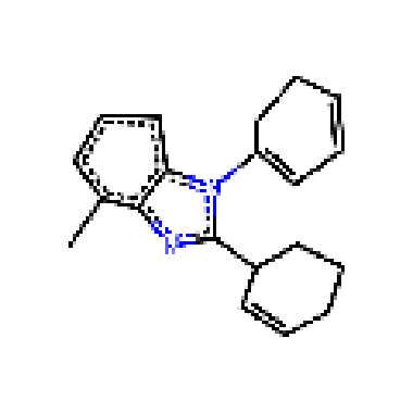 Cc1cccc2c1nc(C1C=CCCC1)n2C1=CC=CCC1